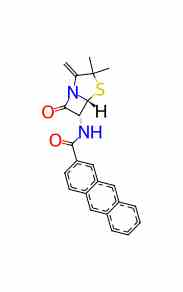 C=C1N2C(=O)[C@@H](NC(=O)c3ccc4cc5ccccc5cc4c3)[C@H]2SC1(C)C